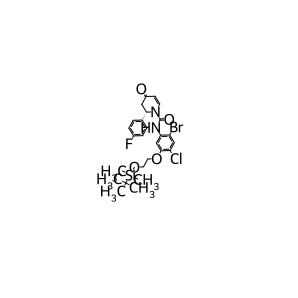 CC(C)(C)[Si](C)(C)OCCOc1cc(NC(=O)N2C=CC(=O)C[C@H]2c2ccc(F)cc2)c(Br)cc1Cl